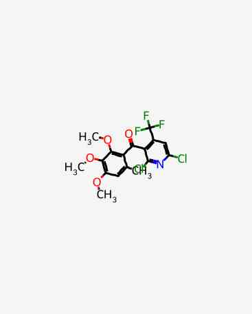 COc1cc(C)c(C(=O)c2c(C(F)(F)F)cc(Cl)nc2Cl)c(OC)c1OC